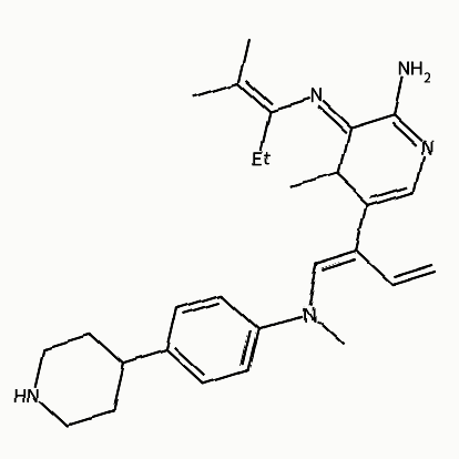 C=C/C(=C\N(C)c1ccc(C2CCNCC2)cc1)C1=CN=C(N)/C(=N/C(CC)=C(C)C)C1C